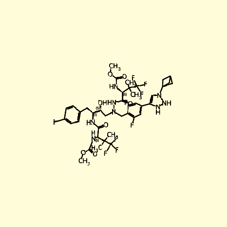 COC(=O)N[C@H](C(=O)N[C@@H](Cc1ccc(I)cc1)[C@@H](O)CN(Cc1c(F)cc(C2=CN(C34CC(C3)C4)NN2)cc1F)NC(=O)[C@@H](NC(=O)OC)C(C)(C)C(F)(F)F)C(C)(C)C(F)(F)F